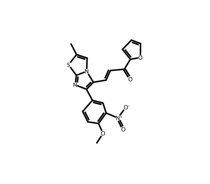 COc1ccc(-c2nc3sc(C)cn3c2C=CC(=O)c2ccco2)cc1[N+](=O)[O-]